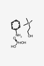 C[N+](C)(C)CCO.Nc1ccccc1.O=[PH](O)O